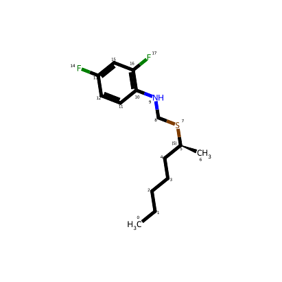 CCCCC[C@H](C)SCNc1ccc(F)cc1F